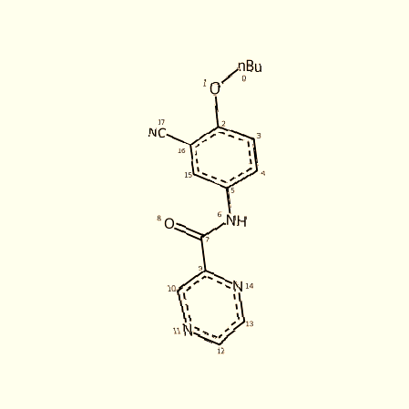 CCCCOc1ccc(NC(=O)c2cnccn2)cc1C#N